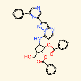 O=C(O[C@@H]1[C@@H](CO)C[C@@H](Nc2ccnc3cc(-c4cncc(-c5ccccc5)n4)nn23)[C@@H]1OC(=O)c1ccccc1)c1ccccc1